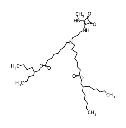 CCCCCCC(CCCCCC)COC(=O)CCCCCCCN(CCCCCCCC(=O)OCC(CCCC)CCCC)CCCNc1c(NC)c(=O)c1=O